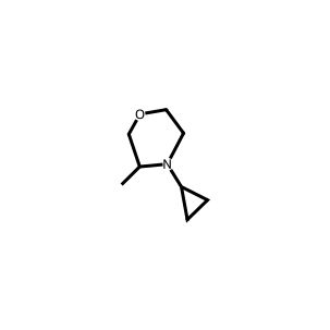 CC1COCCN1C1CC1